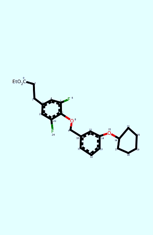 CCOC(=O)CCc1cc(F)c(OCc2cccc(OC3CCCCC3)c2)c(F)c1